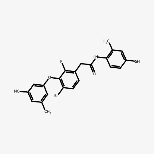 Cc1cc(C#N)cc(Oc2c(Br)ccc(CC(=O)Nc3ccc(S)cc3C)c2F)c1